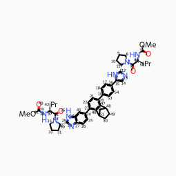 COC(=O)N[C@H](C(=O)N1CCC[C@H]1c1ncc(-c2ccc(-c3ccc(-c4ccc5nc([C@@H]6CCCN6C(=O)[C@@H](NC(=O)OC)C(C)C)[nH]c5c4)c4c3C3CCC4C3)cc2)[nH]1)C(C)C